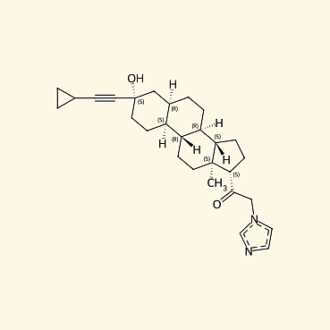 C[C@]12CC[C@H]3[C@@H](CC[C@@H]4C[C@](O)(C#CC5CC5)CC[C@@H]43)[C@@H]1CC[C@@H]2C(=O)Cn1ccnc1